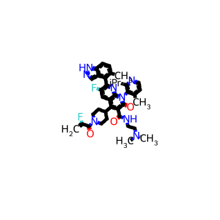 C=C(F)C(=O)N1CCC(c2c(C(=O)NCCN(C)C)c(=O)n(-c3c(C)ccnc3C(C)C)c3nc(-c4c(C)ccc5[nH]ncc45)c(F)cc23)CC1